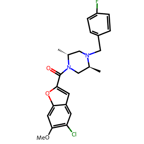 COc1cc2oc(C(=O)N3C[C@H](C)N(Cc4ccc(F)cc4)C[C@H]3C)cc2cc1Cl